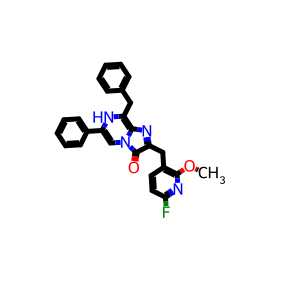 COc1nc(F)ccc1Cc1nc2c(Cc3ccccc3)[nH]c(-c3ccccc3)cn-2c1=O